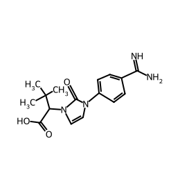 CC(C)(C)C(C(=O)O)n1ccn(-c2ccc(C(=N)N)cc2)c1=O